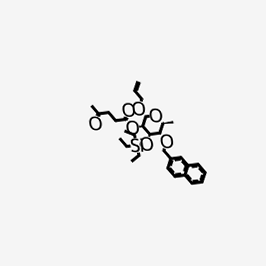 C=CCO[C@@H]1O[C@@H](C)[C@H](OCc2ccc3ccccc3c2)[C@@H](O[Si](CC)(CC)CC)[C@H]1OC(=O)CCC(C)=O